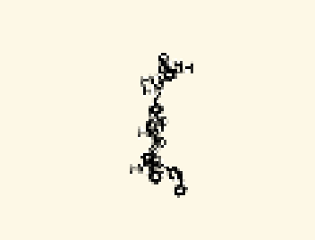 O=C(COc1cccc([C@](O)(C(=O)OCC2CCN(Cc3ccccc3)CC2)c2ccccc2)c1)N1C[C@@H]2CCN(C(=O)c3ccc(CCNC[C@H](O)c4ccc(O)c5[nH]c(=O)ccc45)cc3)[C@@H]2C1